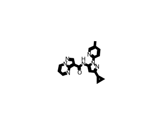 Cc1ccc(-n2nc(C3CC3)cc2NC(=O)c2cnn3cccnc23)nc1